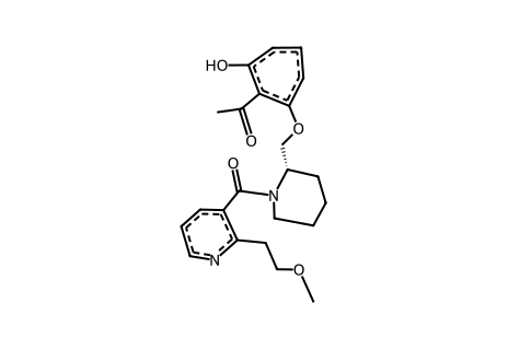 COCCc1ncccc1C(=O)N1CCCC[C@H]1COc1cccc(O)c1C(C)=O